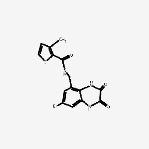 Cc1ccsc1C(=O)NCc1cc(Br)cc2[nH]c(=O)c(=O)[nH]c12